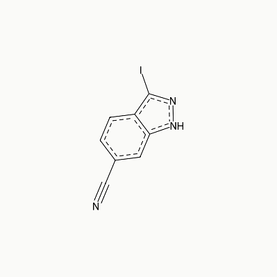 N#Cc1ccc2c(I)n[nH]c2c1